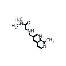 Cc1nccc2cc(CNCC(=O)N(C)C)cnc12